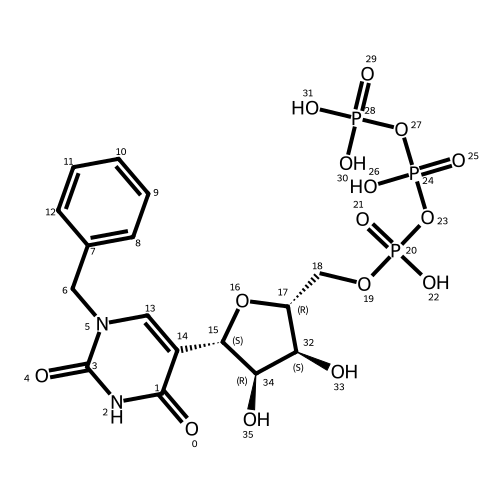 O=c1[nH]c(=O)n(Cc2ccccc2)cc1[C@@H]1O[C@H](COP(=O)(O)OP(=O)(O)OP(=O)(O)O)[C@@H](O)[C@H]1O